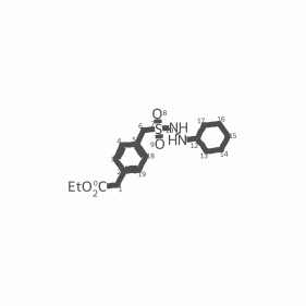 CCOC(=O)Cc1ccc(CS(=O)(=O)NNC2CCCCC2)cc1